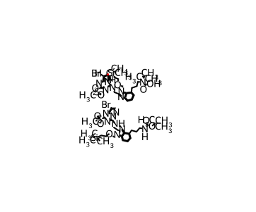 CC(C)(C)N(CCCc1cccc2nc(CNc3nc(S(C)(=O)=O)nc4c(Br)cnn34)n(COCC[Si](C)(C)C)c12)C(=O)O.CC(C)(C)OC(=O)NCCCc1cccc2c1nc(CNc1nc(S(C)(=O)=O)nc3c(Br)cnn13)n2COCC[Si](C)(C)C